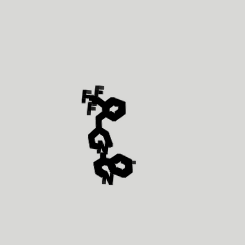 FC(F)(F)c1ccccc1CC1CCN(c2ccnc3cc[c]cc23)CC1